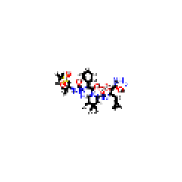 CC(C)[C@@H](CS(=O)(=O)C(C)(C)C)NC(=O)N[C@H](C(=O)N1CC(C)C(C)(C)C[C@H]1C(=O)NC(CC1CC1)C(=O)C(N)=O)C1CCCCC1